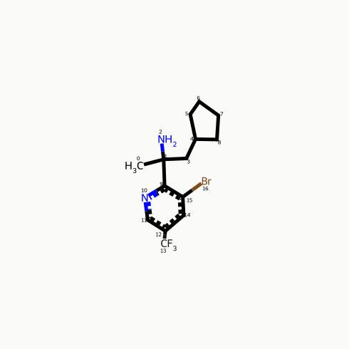 CC(N)(CC1CCCC1)c1ncc(C(F)(F)F)cc1Br